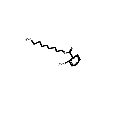 CCCCCCCCCCCCCCCCCCOC(=O)c1ccccc1SC